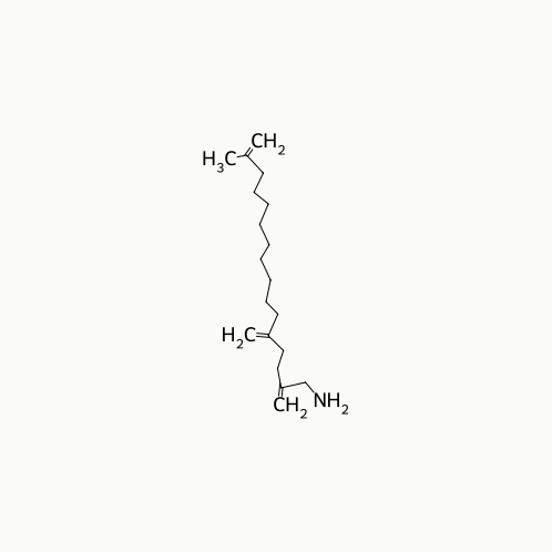 C=C(C)CCCCCCCCCC(=C)CCC(=C)CN